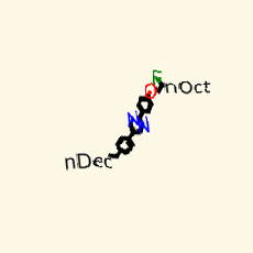 CCCCCCCCCCCCc1ccc(-c2cnc(-c3ccc(OCC(F)CCCCCCCC)cc3)nc2)cc1